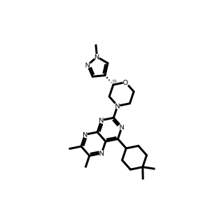 Cc1nc2nc(N3CCO[C@@H](c4cnn(C)c4)C3)nc(C3CCC(C)(C)CC3)c2nc1C